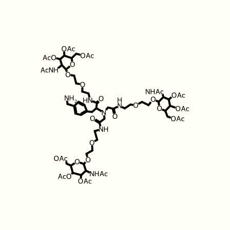 CC(=O)NC1C(OCCOCCNC(=O)CN(CC(=O)NCCOCCOC2OC(COC(C)=O)C(OC(C)=O)C(OC(C)=O)C2NC(C)=O)C(Cc2ccc(CN)cc2)C(=O)NCCOCCOC2OC(COC(C)=O)C(OC(C)=O)C(OC(C)=O)C2NC(C)=O)OC(COC(C)=O)C(OC(C)=O)C1OC(C)=O